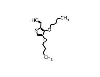 [CH]=Cc1s[c]c(OCCCC)c1OCCCC